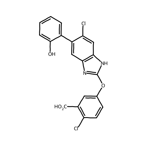 O=C(O)c1cc(Oc2nc3cc(-c4ccccc4O)c(Cl)cc3[nH]2)ccc1Cl